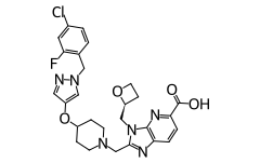 O=C(O)c1ccc2nc(CN3CCC(Oc4cnn(Cc5ccc(Cl)cc5F)c4)CC3)n(C[C@@H]3CCO3)c2n1